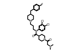 CN(C)CC(=O)N1CCC(C(=O)N(CCCN2CCC(Cc3ccc(F)cc3)CC2)c2ccc(Cl)c(Cl)c2)CC1